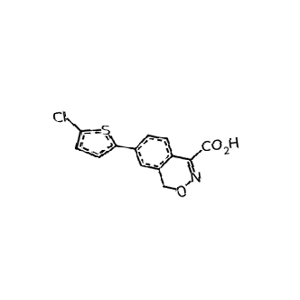 O=C(O)C1=NOCc2cc(-c3ccc(Cl)s3)ccc21